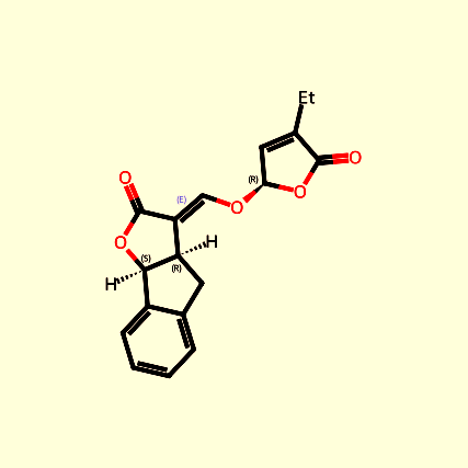 CCC1=C[C@H](O/C=C2/C(=O)O[C@@H]3c4ccccc4C[C@H]23)OC1=O